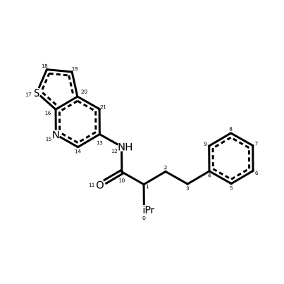 CC(C)C(CCc1ccccc1)C(=O)Nc1cnc2sccc2c1